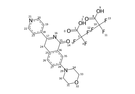 O=C(O)C(F)(F)F.O=C(O)C(F)(F)F.O=C1N=C(c2ccncc2)Cc2ccc(N3CCOCC3)cc21